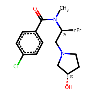 CCC[C@@H](CN1CC[C@H](O)C1)N(C)C(=O)c1ccc(Cl)cc1